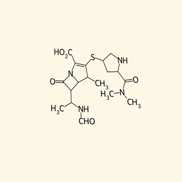 CC(NC=O)C1C(=O)N2C(C(=O)O)=C(SC3CNC(C(=O)N(C)C)C3)C(C)C12